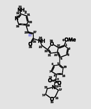 COc1ccc(-c2ccc(S(=O)(=O)N3CCOCC3)cc2)c2cc(CNC(=O)/C=C/c3ccc(N)nc3)oc12